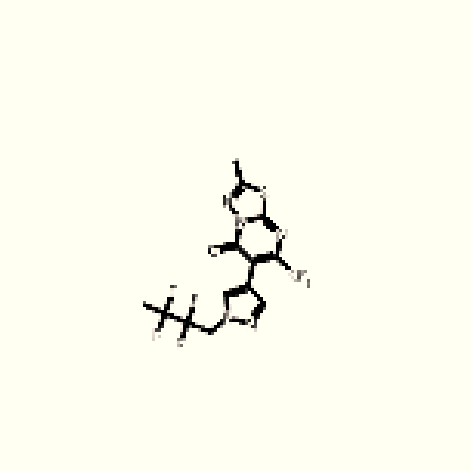 Cc1nn2c(=O)c(-c3cnn(CC(F)(F)C(C)(F)F)c3)c(C(F)(F)F)nc2s1